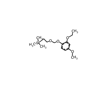 CCOc1cc(OC)ccc1OCOCC[Si](C)(C)C